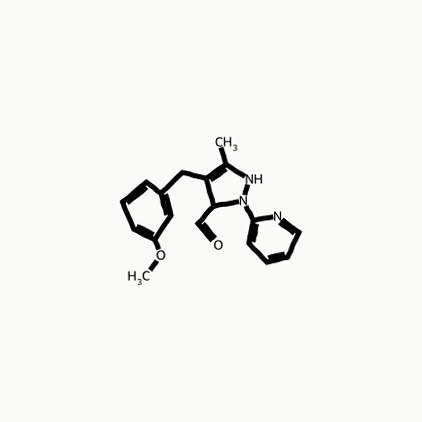 COc1cccc(CC2=C(C)NN(c3ccccn3)C2C=O)c1